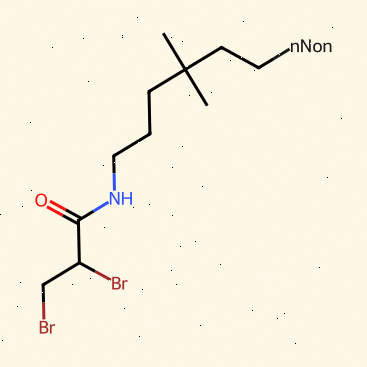 CCCCCCCCCCCC(C)(C)CCCNC(=O)C(Br)CBr